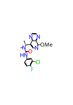 COc1ncc([C@H](C)N(C)C(=O)Nc2ccc(F)c(Cl)c2)c2nccnc12